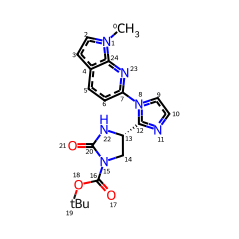 Cn1ccc2ccc(-n3ccnc3[C@@H]3CN(C(=O)OC(C)(C)C)C(=O)N3)nc21